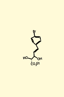 CCOC(=O)[C@H](O)C(O)C=Cc1ccc(Br)cc1